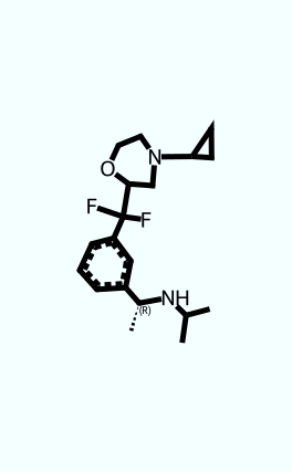 CC(C)N[C@H](C)c1cccc(C(F)(F)C2CN(C3CC3)CCO2)c1